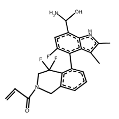 C=CC(=O)N1Cc2cccc(-c3c(F)cc(C(N)O)c4[nH]c(C)c(C)c34)c2C(F)(F)C1